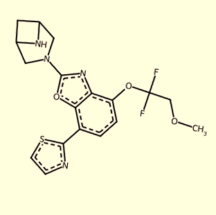 COCC(F)(F)Oc1ccc(-c2nccs2)c2oc(N3CC4CC(C3)N4)nc12